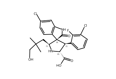 CC(C)(CO)C[C@@H]1N[C@@H](C(=O)O)[C@H](c2cccc(Cl)c2F)[C@]12C(=O)Nc1cc(Cl)ccc12